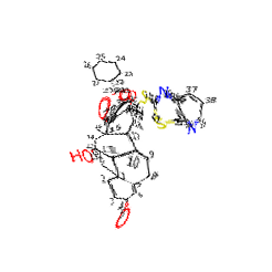 CC12C=CC(=O)C=C1CCC1C2[C@@H](O)CC2(C)C1C[C@H]1O[C@@H](C3CCCCC3)O[C@]12C(=O)CSc1nc2cccnc2s1